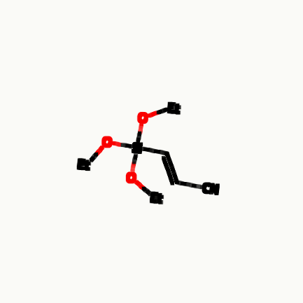 CCO[Si](C=CC#N)(OCC)OCC